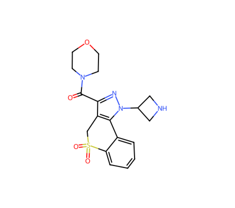 O=C(c1nn(C2CNC2)c2c1CS(=O)(=O)c1ccccc1-2)N1CCOCC1